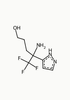 NC(CCCO)(c1ccn[nH]1)C(F)(F)F